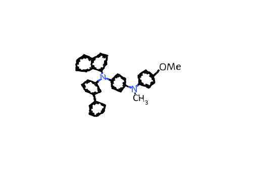 COc1ccc(N(C)c2ccc(N(c3cccc(-c4ccccc4)c3)c3cccc4ccccc34)cc2)cc1